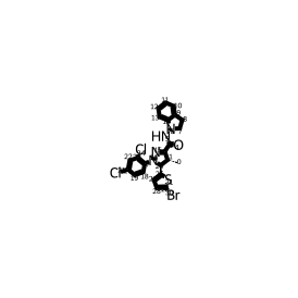 C[C@H]1C(C(=O)NN2CCc3ccccc32)=NN(c2ccc(Cl)cc2Cl)[C@@H]1c1ccc(Br)s1